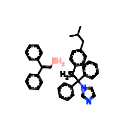 BC=C(c1ccccc1)c1ccccc1.CC(C)Cc1ccc([SiH2]C(c2ccccc2)(c2ccccc2)n2ccnc2)cc1